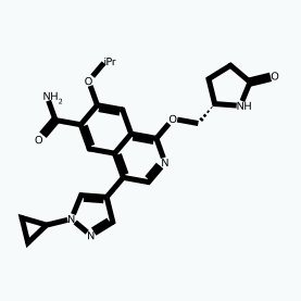 CC(C)Oc1cc2c(OC[C@@H]3CCC(=O)N3)ncc(-c3cnn(C4CC4)c3)c2cc1C(N)=O